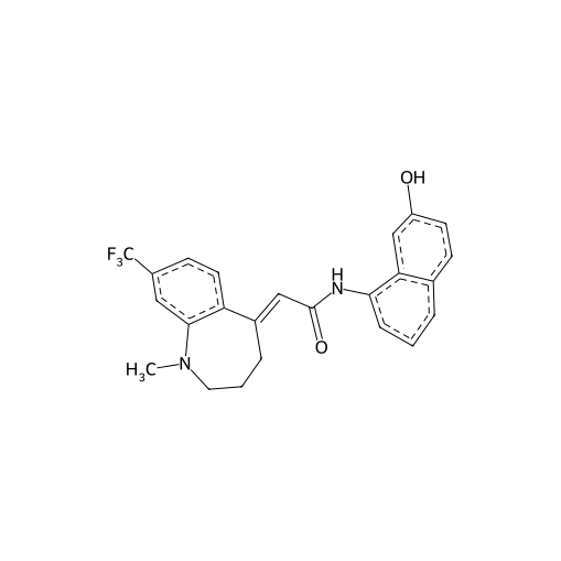 CN1CCC/C(=C\C(=O)Nc2cccc3ccc(O)cc23)c2ccc(C(F)(F)F)cc21